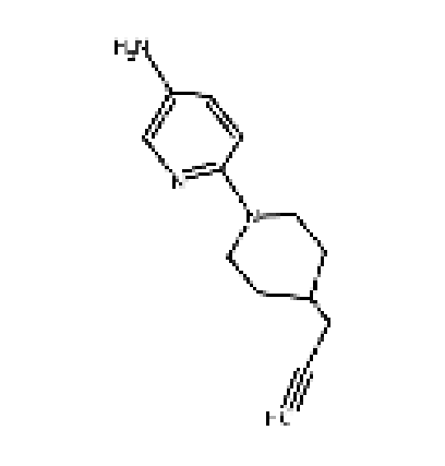 C#CCC1CCN(c2ccc(N)cn2)CC1